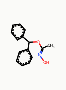 CC(=NO)OC(c1ccccc1)c1ccccc1